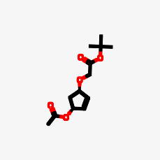 CC(=O)O[C@@H]1C=C[C@H](OCC(=O)OC(C)(C)C)C1